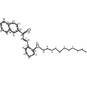 CCCCCCCCCCCOc1ccccc1/C=C/C(=O)c1ccc2ccccc2c1